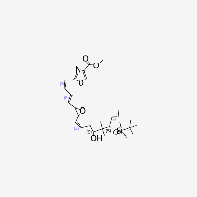 C/C=C/[C@H](O[Si](C)(C)C(C)(C)C)C(C)(C)[C@@H](O)C/C=C\C1OC1/C=C/C=C\c1nc(C(=O)OC)co1